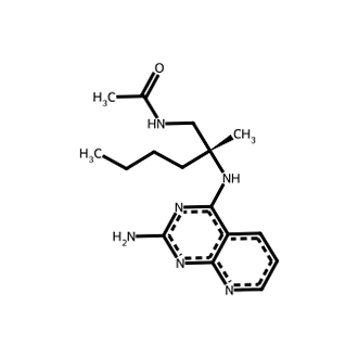 CCCC[C@](C)(CNC(C)=O)Nc1nc(N)nc2ncccc12